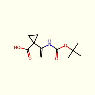 C=C(NC(=O)OC(C)(C)C)C1(C(=O)O)CC1